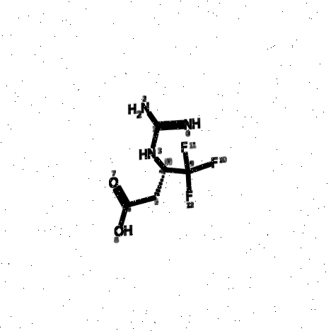 N=C(N)N[C@@H](CC(=O)O)C(F)(F)F